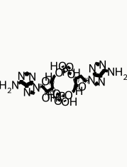 Nc1ncnc2c1ncn2[C@@H]1O[C@@H]2COP(=O)(O)O[C@H]3C[C@H](n4cnc5c(N)ncnc54)O[C@@H]3COP(=O)(O)O[C@H]2[C@H]1O